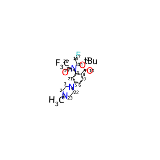 CN1CCN(c2ccc(C(=O)OC(C)(C)C)c(N(CCF)C(=O)C(F)(F)F)c2)CC1